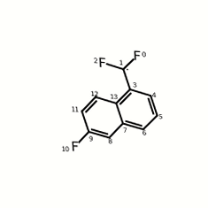 F[C](F)c1cccc2cc(F)ccc12